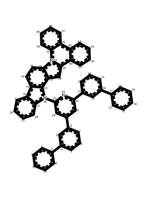 c1ccc(-c2cccc(-c3cc(-c4cccc(-c5ccccc5)c4)nc(-n4c5ccccc5c5ccc6c(cc7c8ccccc8c8ccccc8n76)c54)c3)c2)cc1